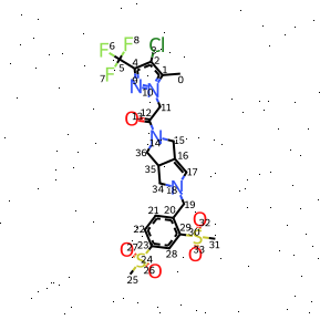 Cc1c(Cl)c(C(F)(F)F)nn1CC(=O)N1CC2=CN(Cc3ccc(S(C)(=O)=O)cc3S(C)(=O)=O)CC2C1